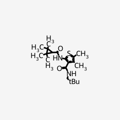 Cc1sc(NC(=O)C2C(C)(C)C2(C)C)c(C(=O)NCC(C)(C)C)c1C